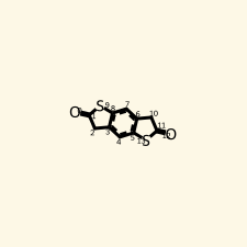 O=C1Cc2cc3c(cc2S1)CC(=O)S3